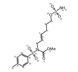 COC(=O)N(C/C=C/CCCOS(N)(=O)=O)S(=O)(=O)c1ccc(C)cc1